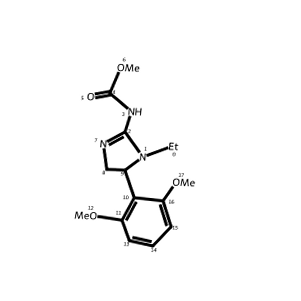 CCN1C(NC(=O)OC)=NCC1c1c(OC)cccc1OC